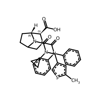 Cc1cc(CN(C(=O)N2C3CC[C@@H]2[C@@H](C(=O)O)N(C(=O)N(c2ccccc2)c2ccccc2)C3)C2CC2)cs1